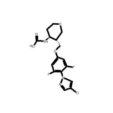 O=C(O)N[C@H]1CCOC[C@@H]1COc1cc(F)c(-n2cc(Cl)cn2)c(F)c1